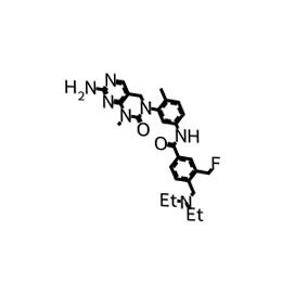 CCN(CC)Cc1ccc(C(=O)Nc2ccc(C)c(N3Cc4cnc(N)nc4N(C)C3=O)c2)cc1CF